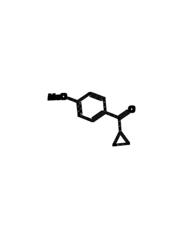 COc1ccc(C(=O)C2CC2)cc1